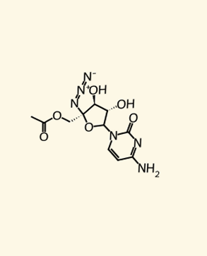 CC(=O)OC[C@@]1(N=[N+]=[N-])OC(n2ccc(N)nc2=O)[C@@H](O)[C@@H]1O